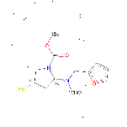 CC(C)(C)OC(=O)N1C[C@@H](S)C[C@H]1N(C=O)Cc1ccco1